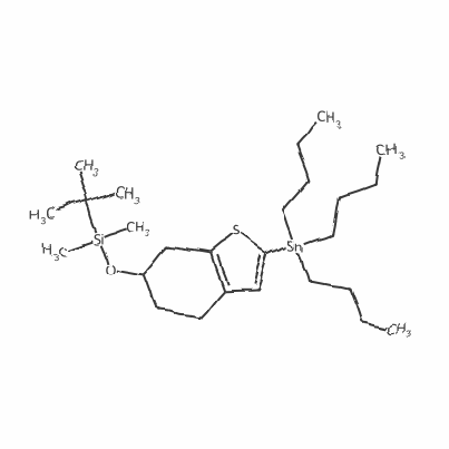 CCC[CH2][Sn]([CH2]CCC)([CH2]CCC)[c]1cc2c(s1)CC(O[Si](C)(C)C(C)(C)C)CC2